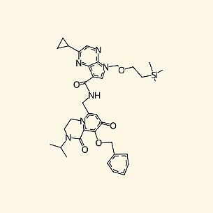 CC(C)N1CCn2c(CNC(=O)c3cn(COCC[Si](C)(C)C)c4ncc(C5CC5)nc34)cc(=O)c(OCc3ccccc3)c2C1=O